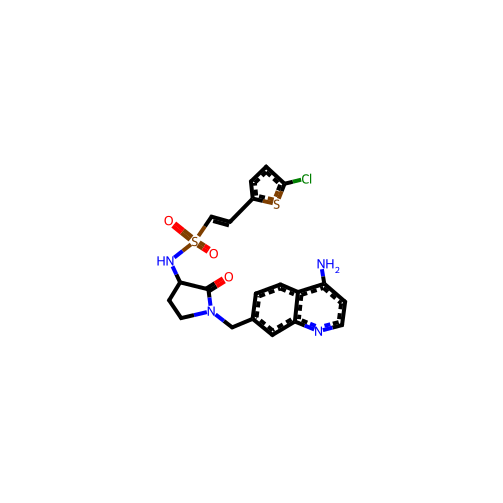 Nc1ccnc2cc(CN3CCC(NS(=O)(=O)C=Cc4ccc(Cl)s4)C3=O)ccc12